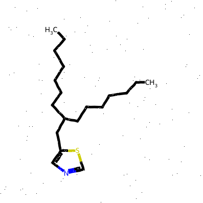 CCCCCCCC(CCCCCCC)Cc1cncs1